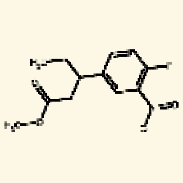 CCC(CC(=O)OC)c1ccc(F)c([N+](=O)[O-])c1